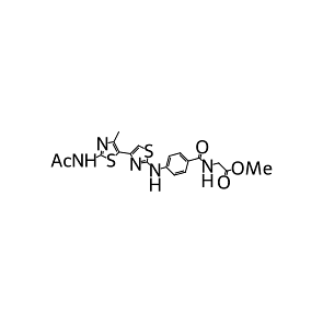 COC(=O)CNC(=O)c1ccc(Nc2nc(-c3sc(NC(C)=O)nc3C)cs2)cc1